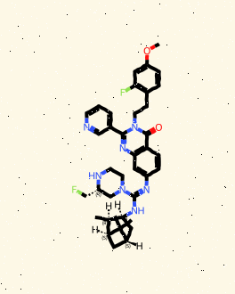 COc1ccc(CCn2c(-c3cccnc3)nc3cc(N=C(N[C@H]4C[C@@H]5C[C@@H]([C@H]4C)C5(C)C)N4CCN[C@@H](CF)C4)ccc3c2=O)c(F)c1